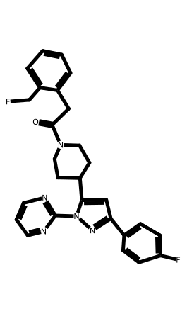 O=C(Cc1ccccc1CF)N1CCC(c2cc(-c3ccc(F)cc3)nn2-c2ncccn2)CC1